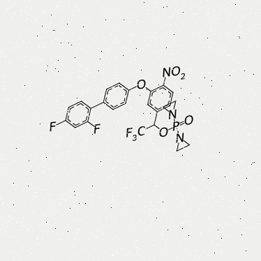 O=[N+]([O-])c1ccc(C(OP(=O)(N2CC2)N2CC2)C(F)(F)F)cc1Oc1ccc(-c2ccc(F)cc2F)cc1